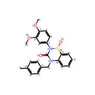 COc1ccc(N2C(=O)N(Cc3ccc(C)cc3)c3ccccc3[S+]2[O-])cc1OC